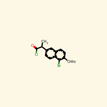 COc1ccc2cc(C(C)C(=O)Cl)ccc2c1Br